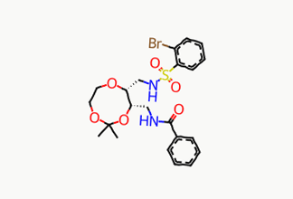 CC1(C)OCCO[C@H](CNS(=O)(=O)c2ccccc2Br)[C@H](CNC(=O)c2ccccc2)O1